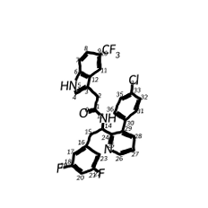 O=C(Cc1c[nH]c2ccc(C(F)(F)F)cc12)NC(Cc1cc(F)cc(F)c1)c1ncccc1-c1ccc(Cl)cc1